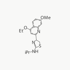 CCOc1cc(C2CSC(NC(C)C)=N2)nc2cc(OC)ccc12